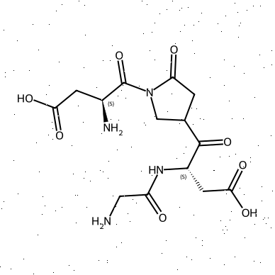 NCC(=O)N[C@@H](CC(=O)O)C(=O)C1CC(=O)N(C(=O)[C@@H](N)CC(=O)O)C1